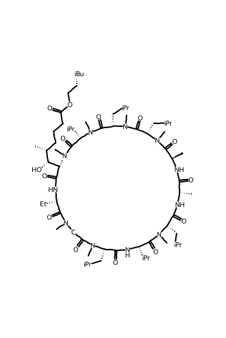 CC[C@@H](C)CCOC(=O)CCC[C@@H](C)[C@@H](O)[C@H]1C(=O)N[C@@H](CC)C(=O)N(C)CC(=O)N(C)[C@@H](CC(C)C)C(=O)N[C@@H](C(C)C)C(=O)N(C)[C@@H](CC(C)C)C(=O)N[C@@H](C)C(=O)N[C@H](C)C(=O)N(C)[C@@H](CC(C)C)C(=O)N(C)[C@@H](CC(C)C)C(=O)N(C)[C@@H](C(C)C)C(=O)N1C